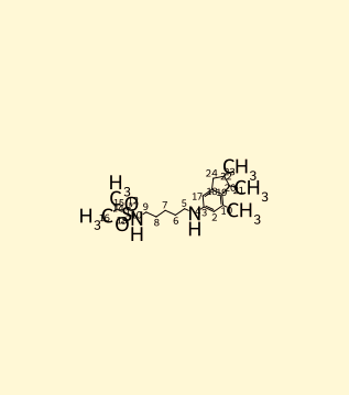 Cc1cc(NCCCCCNS(=O)(=O)C(C)C)cc2c1C(C)C(C)C2